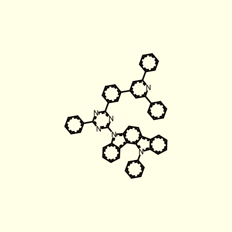 c1ccc(-c2cc(-c3cccc(-c4nc(-c5ccccc5)nc(-n5c6ccccc6c6c5ccc5c7ccccc7n(-c7ccccc7)c56)n4)c3)cc(-c3ccccc3)n2)cc1